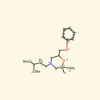 COC(OC)[SiH2]CN1CC(COc2ccccc2)O[Si](C)(OC)C1